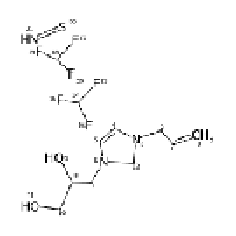 C=CCN1C=CN(CC(O)CO)C1.FC(F)F.FC(F)F.N=S